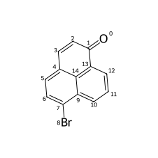 O=C1C=Cc2ccc(Br)c3cccc1c23